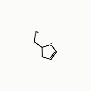 CC(C)CC1CC=CO1